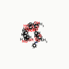 CC(=O)O[C@@H]1[C@@H](O)[C@H](O[C@H]2[C@H](OC(=O)[C@@H]3CC[C@@H]4[C@H](C3)O[C@]3(C[C@H](OC(=O)/C=C/c5ccccc5)[C@H](C)CO3)[C@@]43CO3)O[C@H](C)[C@@H](O)[C@@H]2OC(C)=O)O[C@H](C)[C@H]1O.C[C@@]1(CO)[C@H](O)CC[C@@]2(C)[C@H]1CC[C@H]1C[C@@H]3C[C@@]12CC[C@]3(O)CO